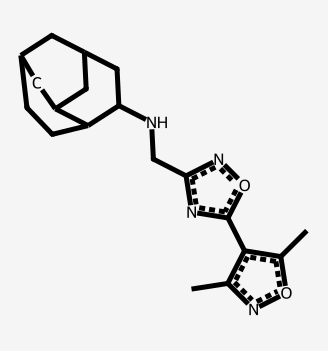 Cc1noc(C)c1-c1nc(CNC2CC3CC4CCC2C(C4)C3)no1